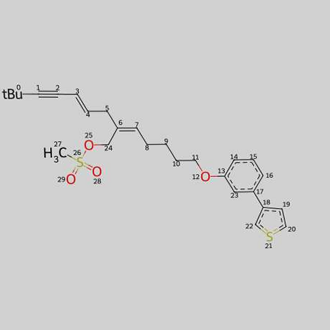 CC(C)(C)C#CC=CCC(=CCCCCOc1cccc(-c2ccsc2)c1)COS(C)(=O)=O